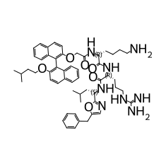 CC(C)CCOc1ccc2ccccc2c1-c1c(OCC(=O)N[C@H](CCCCN)C(=O)N[C@H](CCCNC(=N)N)C(=O)N[C@@H](CC(C)C)c2ncc(Cc3ccccc3)o2)ccc2ccccc12